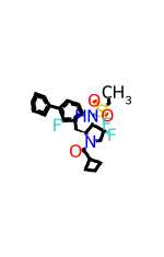 CCS(=O)(=O)N[C@@H]1[C@H](Cc2cccc(-c3ccccc3)c2F)N(C(=O)C2CCC2)CC1(F)F